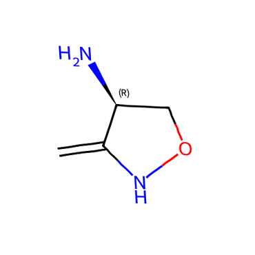 C=C1NOC[C@@H]1N